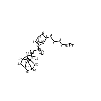 CC(C)CCCCC1CC2CC(C(=O)OC(C)(C)C34CC5CC(CC(C5)C3)C4)C1C2